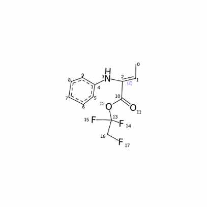 C/C=C(\Nc1ccccc1)C(=O)OC(F)(F)CF